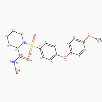 COc1ccc(Oc2ccc(S(=O)(=O)N3CCCCC3C(=O)NO)cc2)cc1